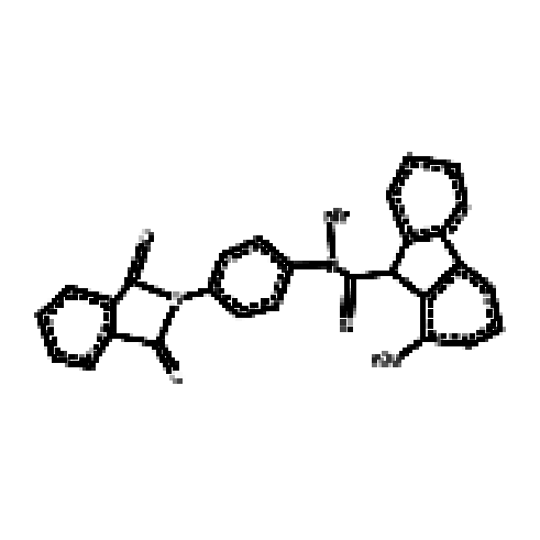 CCCCc1cccc2c1C(C(=O)N(CCC)c1ccc(N3C(=O)c4ccccc4C3=O)cc1)c1ccccc1-2